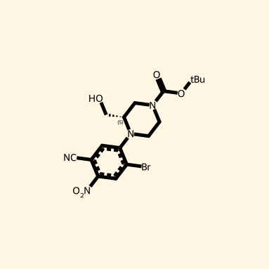 CC(C)(C)OC(=O)N1CCN(c2cc(C#N)c([N+](=O)[O-])cc2Br)[C@H](CO)C1